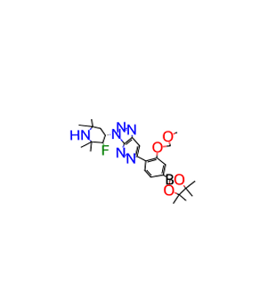 COCOc1cc(B2OC(C)(C)C(C)(C)O2)ccc1-c1cc2nnn([C@H]3CC(C)(C)NC(C)(C)[C@H]3F)c2nn1